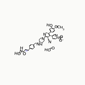 COc1ccc(-c2cnc(N3CCC(NCc4ccc(/C=C/C(=O)NO)cc4)CC3)c(C#N)c2-c2ccc([N+](=O)[O-])nc2)cc1O.O=CO